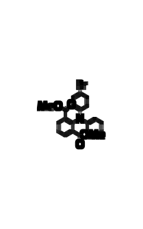 COC(=O)c1cccc(C(=O)OC)c1N(c1ccccc1)c1ccc(Br)cc1